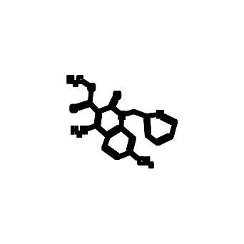 COC(=O)c1c(N)c2ccc(C)cc2n(Cc2ccccn2)c1=O